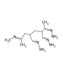 C/N=C(\C)CC(/C=N/N)CC(/C=N/N)/C(C)=N\N